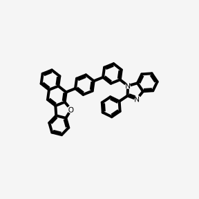 c1ccc(-c2nc3ccccc3n2-c2cccc(-c3ccc(-c4c5ccccc5cc5c4oc4ccccc45)cc3)c2)cc1